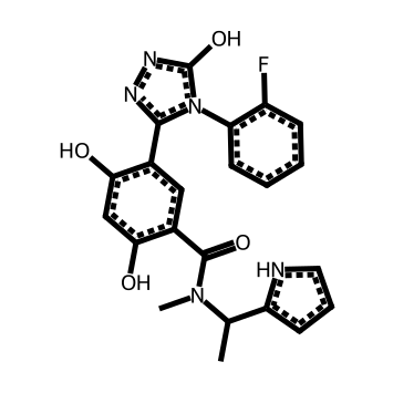 CC(c1ccc[nH]1)N(C)C(=O)c1cc(-c2nnc(O)n2-c2ccccc2F)c(O)cc1O